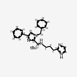 CC(C)(C)[C@@H](NCCCc1ncc[nH]1)c1nc(-c2ccccc2)cn1Cc1ccccc1